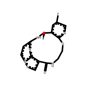 O=C1NCCOc2ncc(F)cc2C2(CCC2)Nc2ccn3ncc1c3n2